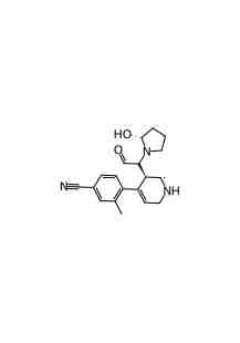 Cc1cc(C#N)ccc1C1=CCN[CH][C@@H]1C(C=O)N1CCC[C@H]1O